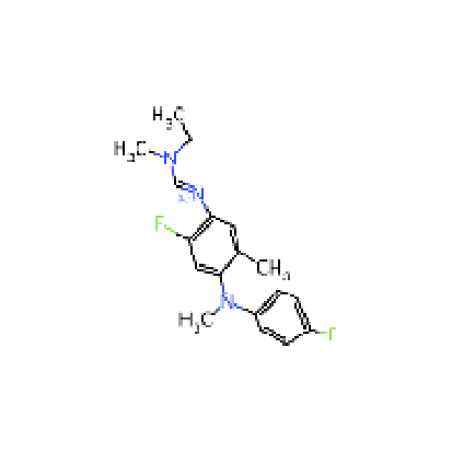 CCN(C)/C=N/c1cc(C)c(N(C)c2ccc(F)cc2)cc1F